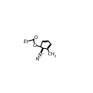 CCC(=O)OC1C=CC=C(C)C1=[N+]=[N-]